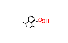 CC(C)c1cccc(COO)c1C(C)C